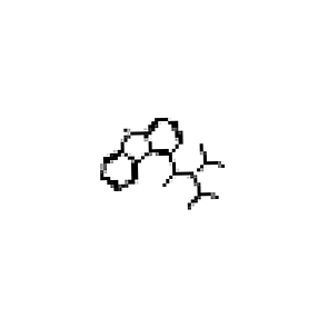 CC(C)N(C(C)C)C(C)c1cccc2oc3ccccc3c12